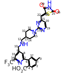 Cc1ccc(C(=O)O)c(-c2cc(CNCC3CCN(c4nccc(/C=C5\SC(=O)NC5=O)n4)CC3)cc(C(F)(F)F)n2)c1